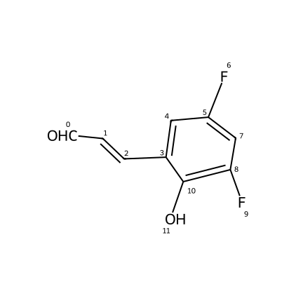 O=CC=Cc1cc(F)cc(F)c1O